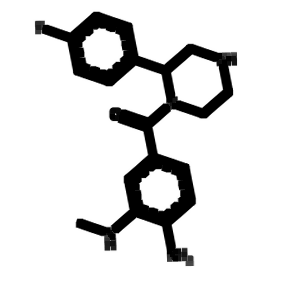 CNc1cc(C(=O)N2CCNCC2c2ccc(F)cc2)ccc1N